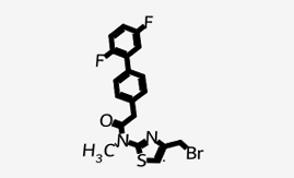 CN(C(=O)Cc1ccc(-c2cc(F)ccc2F)cc1)c1nc(CBr)[c]s1